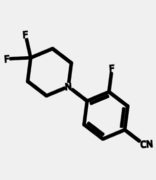 N#Cc1ccc(N2CCC(F)(F)CC2)c(F)c1